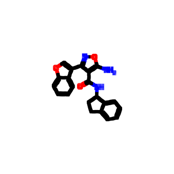 Nc1onc(-c2coc3ccccc23)c1C(=O)NC1CCc2ccccc21